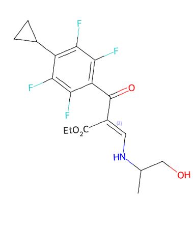 CCOC(=O)/C(=C\NC(C)CO)C(=O)c1c(F)c(F)c(C2CC2)c(F)c1F